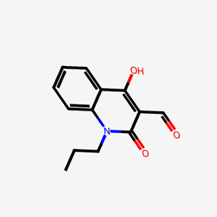 CCCn1c(=O)c(C=O)c(O)c2ccccc21